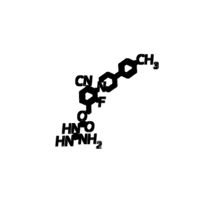 Cc1ccc(C2CCN(c3c(C#N)ccc(COC(=O)NC(=N)N)c3F)CC2)cc1